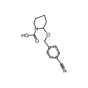 N#Cc1ccc(COC2CCCCN2C(=O)O)cc1